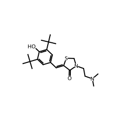 CN(C)CCN1CS/C(=C\c2cc(C(C)(C)C)c(O)c(C(C)(C)C)c2)C1=O